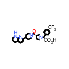 O=C(O)[C@@H](c1ccc(C(F)(F)F)cc1)N1CC[C@@H](C(=O)N2CCC(c3ccc4c(n3)NCCC4)CC2)C1